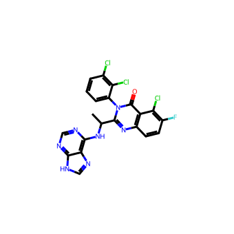 CC(Nc1ncnc2[nH]cnc12)c1nc2ccc(F)c(Cl)c2c(=O)n1-c1cccc(Cl)c1Cl